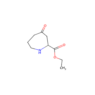 CCOC(=O)C1CC(=O)CCCN1